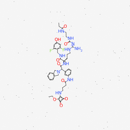 CCOc1c(NCCCC(=O)Nc2cccc(C(C(=O)N[C@H](CCCN/C(N)=N\C(=O)NCCNC(=O)CC)C(=O)NCc3c(F)cc(O)cc3F)N3Cc4ccccc4C3)c2)c(=O)c1=O